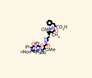 CCCCCCCCCN(C)[C@H](C(=O)N[C@H](C(=O)N(C)[C@@H]([C@@H](C)CC)[C@@H](CC(=O)NCCC[C@@H]1C[C@@]1(OC)[C@@H](C)C(=O)N[C@@H](Cc1ccccc1)C(=O)O)OC)C(C)C)C(C)C